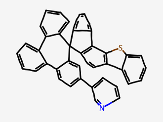 c1cncc(-c2ccc3c(c2)C2(c4ccccc4-c4ccccc4-3)c3ccccc3-c3c2ccc2c3sc3ccccc32)c1